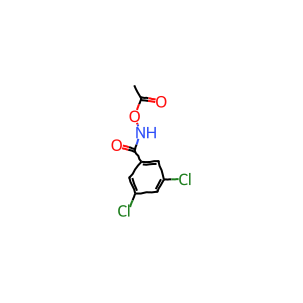 CC(=O)ONC(=O)c1cc(Cl)cc(Cl)c1